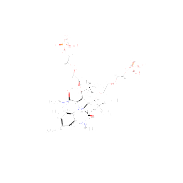 COc1ccc(-n2c(C(=O)N(C)C)c(C(OCCOCCOP(=O)(O)O)C(C)(C)C(=O)O)c(C(OCCOCCOP(=O)(O)O)C(C)(C)C(=O)O)c2C(=O)N(C)C)cc1